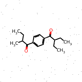 CCC(C)C(=O)c1ccc(C(=O)C(CC)CC)cc1